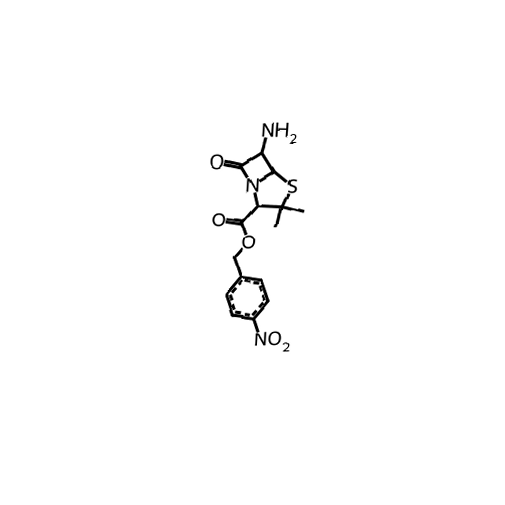 CC1(C)SC2C(N)C(=O)N2C1C(=O)OCc1ccc([N+](=O)[O-])cc1